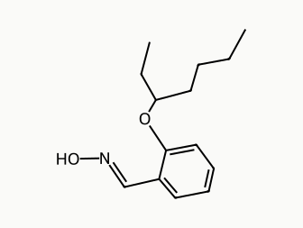 CCCCC(CC)Oc1ccccc1C=NO